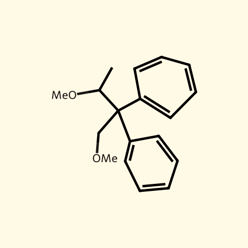 COCC(c1ccccc1)(c1ccccc1)C(C)OC